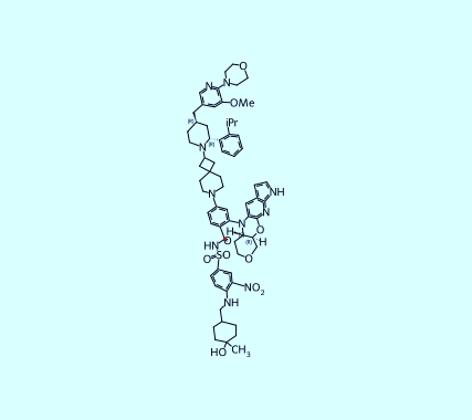 COc1cc(C[C@@H]2CCN(C3CC4(CCN(c5ccc(C(=O)NS(=O)(=O)c6ccc(NCC7CCC(C)(O)CC7)c([N+](=O)[O-])c6)c(N6c7cc8cc[nH]c8nc7O[C@H]7COCC[C@@H]76)c5)CC4)C3)[C@@H](c3ccccc3C(C)C)C2)cnc1N1CCOCC1